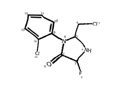 O=C1C(F)NC(CCl)N1c1ccccc1Cl